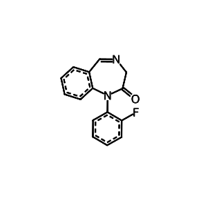 O=C1CN=Cc2ccccc2N1c1ccccc1F